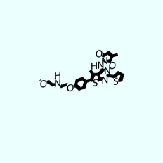 COCCNCCOc1ccc(-c2sc3nc(-c4cccs4)nc(NN4C(=O)C=C(C)C4=O)c3c2C)cc1